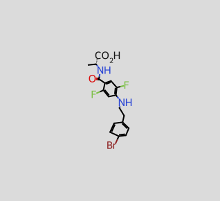 C[C@@H](NC(=O)c1cc(F)c(NCCc2ccc(Br)cc2)cc1F)C(=O)O